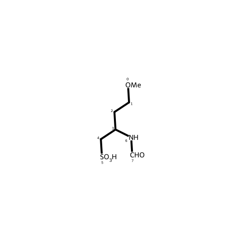 COCCC(CS(=O)(=O)O)NC=O